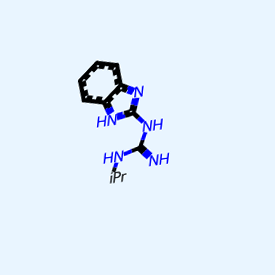 CC(C)NC(=N)Nc1nc2ccccc2[nH]1